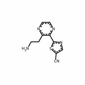 N#Cc1cnc(-c2nccnc2CCN)s1